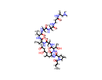 CCC(=O)CC(O)CC(C)CC(NC(=O)C1CC(C)CN1C(=O)/C=C/C(C)CC)C(=O)NC(C(=O)NC(C)(C)C(=O)NC(CC(C)C)C(=O)NC(CC(C)C)C(=O)NC(C)(C)C(=O)NC(C)(C)C(=O)NCCC(=O)NC(C)CN(C)C)C(O)C(C)C